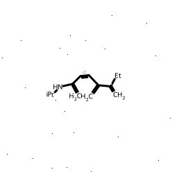 C=C(/C=C\C(=C)C(=C)CC)NC(C)C